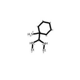 CCNC(NCC)C1([SiH3])CCCCC1